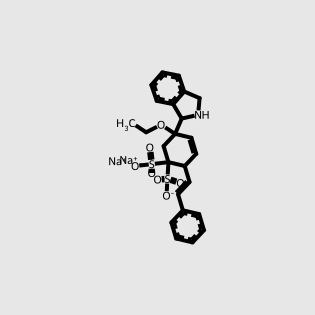 CCOC1(C2NCc3ccccc32)C=CC(C=Cc2ccccc2)C(S(=O)(=O)[O-])(S(=O)(=O)[O-])C1.[Na+].[Na+]